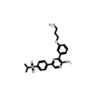 CC(C)S(=O)(=O)c1ccc(-c2cnc(N)c(-c3cccc(OCCCN)c3)n2)cc1